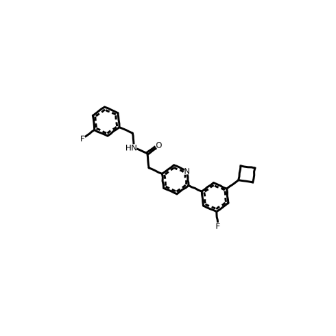 O=C(Cc1ccc(-c2cc(F)cc(C3CCC3)c2)nc1)NCc1cccc(F)c1